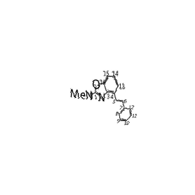 CNc1nc2c(C=Cc3ccccc3)cccc2o1